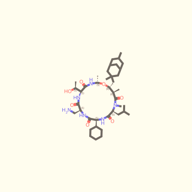 CC(C)C[C@H]1C(=O)N[C@@H](C2CCCCC2)C(=O)N[C@@H](CN)C(=O)N[C@@H]([C@H](C)O)C(=O)N[C@H](C)O[C@H](CC2(C)CC3CC(C)CC(C3)C2)[C@@H](C)C(=O)N1C